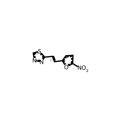 O=[N+]([O-])c1ccc(/C=C/c2nncs2)o1